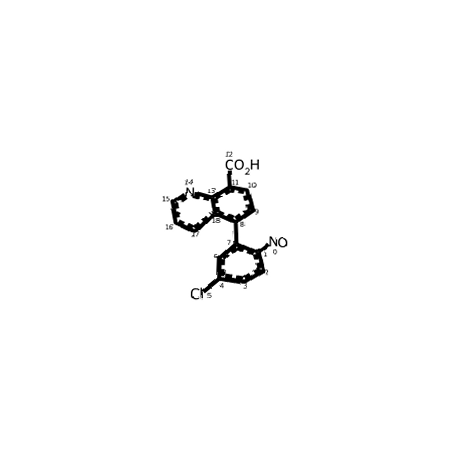 O=Nc1ccc(Cl)cc1-c1ccc(C(=O)O)c2ncccc12